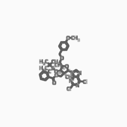 COc1ccc(COC[C@H]2O[C@@H](n3cnc4c(Cl)nc(Cl)nc43)[C@@](C)(COC(=O)c3ccccc3)[C@H]2O[Si](C)(C)C(C)(C)C)cc1